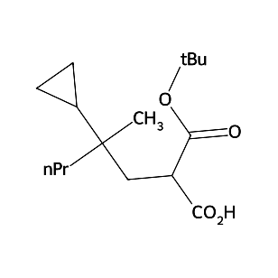 CCCC(C)(CC(C(=O)O)C(=O)OC(C)(C)C)C1CC1